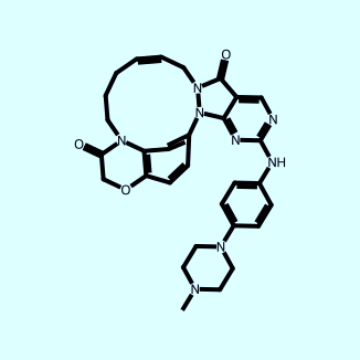 CN1CCN(c2ccc(Nc3ncc4c(=O)n5n(c4n3)-c3ccc4c(c3)N(CCC/C=C\C5)C(=O)CO4)cc2)CC1